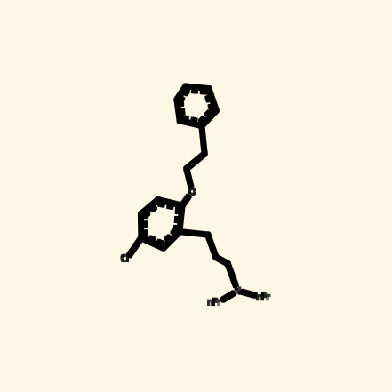 CCCN(CCC)CCCc1cc(Cl)ccc1OCCc1ccccc1